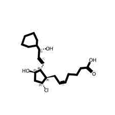 O=C(O)CCC/C=C\C[C@@H]1[C@@H](/C=C/[C@@H](O)C2CCCCC2)[C@H](O)C[C@H]1Cl